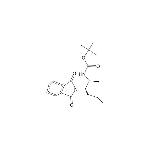 CCC[C@H]([C@H](C)NC(=O)OC(C)(C)C)N1C(=O)c2ccccc2C1=O